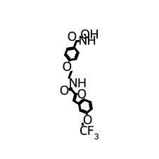 O=C(NO)c1ccc(OCCNC(=O)c2cc3cc(OCC(F)(F)F)ccc3o2)cc1